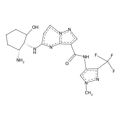 Cn1cc(NC(=O)c2cnn3ccc(N[C@H]4C(O)CCC[C@H]4N)nc23)c(C(F)(F)F)n1